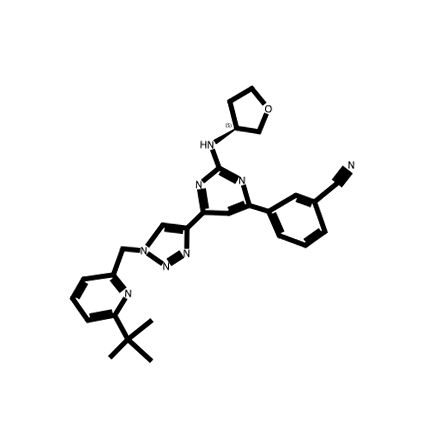 CC(C)(C)c1cccc(Cn2cc(-c3cc(-c4cccc(C#N)c4)nc(N[C@H]4CCOC4)n3)nn2)n1